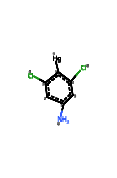 Nc1cc(Cl)[c]([Hg])c(Cl)c1